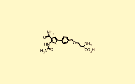 NC(=O)Nc1sc(-c2ccc(COCC[C@H](N)C(=O)O)cc2)cc1C(N)=O